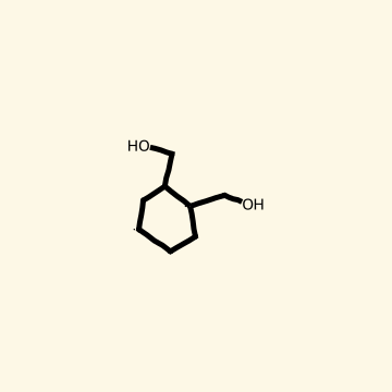 OC[C]1CC[CH]CC1CO